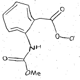 COC(=O)Nc1ccccc1C(=O)OCl